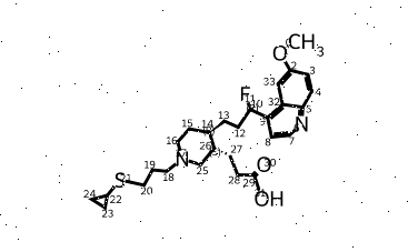 COc1ccc2nccc([C@H](F)CC[C@@H]3CCN(CCCSC4CC4)C[C@H]3CCC(=O)O)c2c1